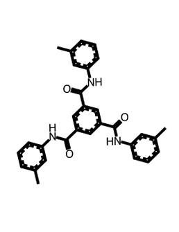 Cc1cccc(NC(=O)c2cc(C(=O)Nc3cccc(C)c3)cc(C(=O)Nc3cccc(C)c3)c2)c1